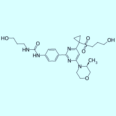 C[C@H]1COCCN1c1cc(C2(S(=O)(=O)CCCO)CC2)nc(-c2ccc(NC(=O)NCCCO)cc2)n1